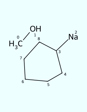 CO.[Na][CH]1CCCCC1